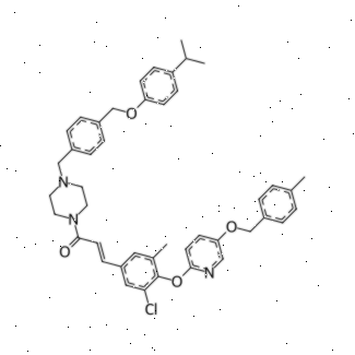 Cc1ccc(COc2ccc(Oc3c(C)cc(C=CC(=O)N4CCN(Cc5ccc(COc6ccc(C(C)C)cc6)cc5)CC4)cc3Cl)nc2)cc1